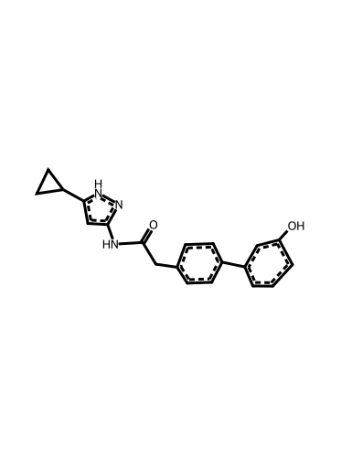 O=C(Cc1ccc(-c2cccc(O)c2)cc1)Nc1cc(C2CC2)[nH]n1